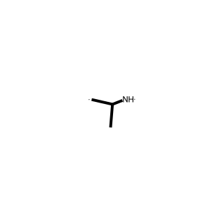 [CH2]C(C)[NH]